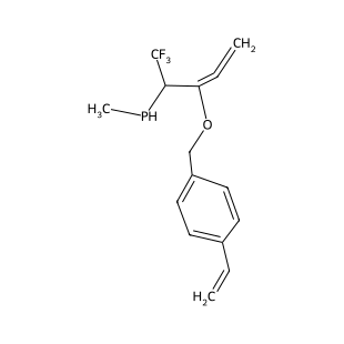 C=C=C(OCc1ccc(C=C)cc1)C(PC)C(F)(F)F